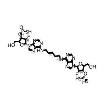 O=[PH](S)O[C@@H]1C(CO)O[C@@H](n2cnc3c(NC/C=C/CCNc4ncnc5c4ncn5C4OC(CO)[C@@H](O[PH](=O)S)[C@H]4F)ncnc32)[C@@H]1F